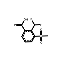 CS(=O)(=O)c1cccc(C(=O)O)c1C(F)F